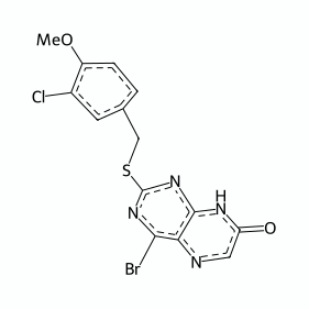 COc1ccc(CSc2nc(Br)c3ncc(=O)[nH]c3n2)cc1Cl